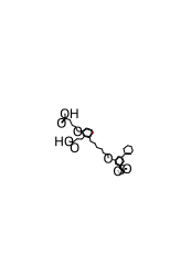 CS(=O)(=O)c1cc(OCCCCCCc2cccc(OCCCC(=O)O)c2CCC(=O)O)cc(C2=CCCCC2)c1